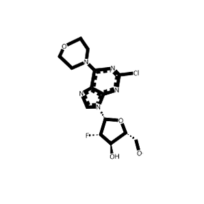 [O]C[C@H]1O[C@@H](n2cnc3c(N4CCOCC4)nc(Cl)nc32)[C@@H](F)[C@@H]1O